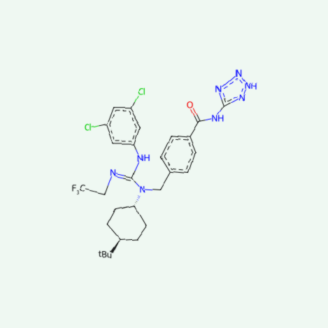 CC(C)(C)[C@H]1CC[C@H](N(Cc2ccc(C(=O)Nc3nn[nH]n3)cc2)/C(=N\CC(F)(F)F)Nc2cc(Cl)cc(Cl)c2)CC1